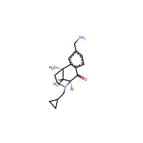 C[C@H]1[C@H]2C(=O)c3ccc(CN)cc3[C@]1(C)CCN2CC1CC1